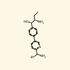 CC(C)C(N)c1ccc(-c2ccc([C@@H](O)[C@H](N)CF)cc2)cn1